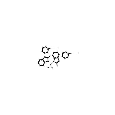 CC1=Cc2ccccc2[CH]1[Zr]([CH]1C(C)=Cc2ccccc21)=[Si](C)C.O=C(O)c1ccccc1.O=C(O)c1ccccc1